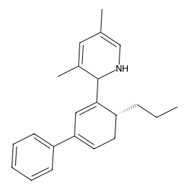 CCC[C@@H]1CC=C(c2ccccc2)C=C1C1NC=C(C)C=C1C